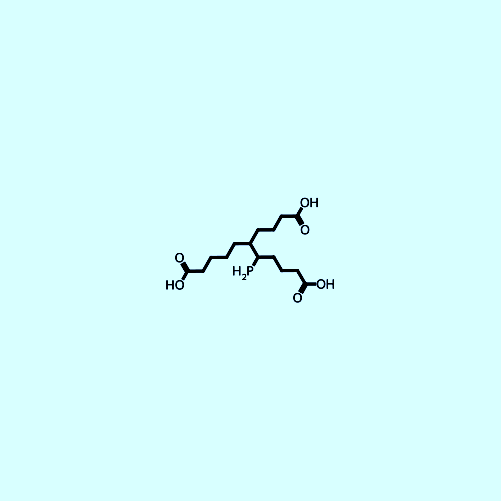 O=C(O)CCCCC(CCCC(=O)O)C(P)CCCC(=O)O